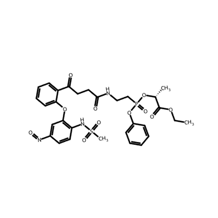 CCOC(=O)[C@@H](C)OP(=O)(CCNC(=O)CCC(=O)c1ccccc1Oc1cc(N=O)ccc1NS(C)(=O)=O)Oc1ccccc1